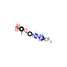 C[C@@H]1CN(c2ncc(C(F)(F)F)cn2)CCN1[C@H]1CC[C@H](COc2ccc(S(C)(=O)=O)cc2F)CC1